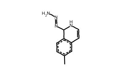 Cc1ccc2c(c1)C=CNC2N=NN